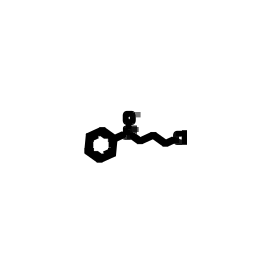 [O-][S+](CCCCl)c1ccccc1